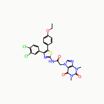 CCOc1ccc(-c2sc(NC(=O)Cn3cnc4c3c(=O)n(C)c(=O)n4C)nc2-c2ccc(Cl)c(Cl)c2)cc1